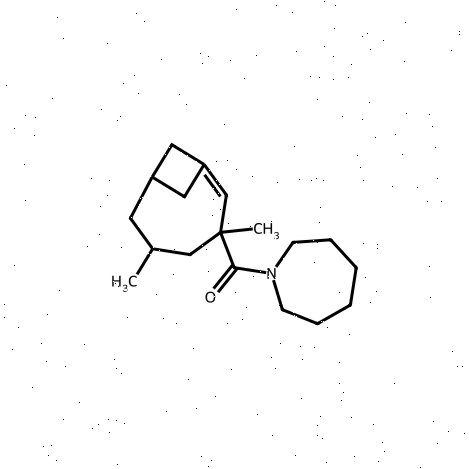 CC1CC2CC(=CC(C)(C(=O)N3CCCCCC3)C1)C2